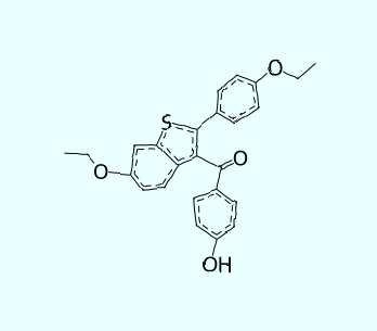 CCOc1ccc(-c2sc3cc(OCC)ccc3c2C(=O)c2ccc(O)cc2)cc1